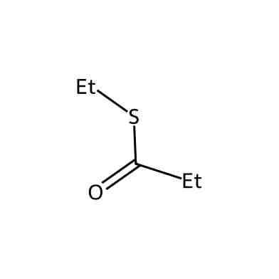 [CH2]CSC(=O)CC